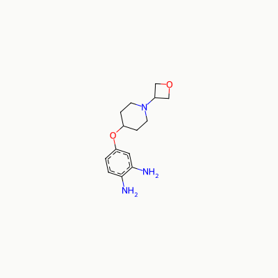 Nc1ccc(OC2CCN(C3COC3)CC2)cc1N